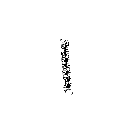 FC(F)(F)OC(F)(F)C(F)(F)OC(F)(F)C(F)(F)OC(F)(F)C(F)(F)OC(F)(F)C(F)(F)OC(F)(F)C(F)(F)OC(F)(F)C(F)(F)OC(F)(F)C(F)(F)OC(F)(F)F